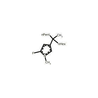 CCCCCCC(C)(CCCCC)c1cc(F)n(C)c1